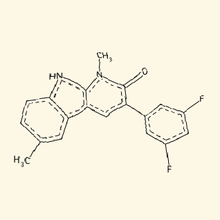 Cc1ccc2[nH]c3c(cc(-c4cc(F)cc(F)c4)c(=O)n3C)c2c1